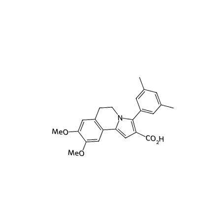 COc1cc2c(cc1OC)-c1cc(C(=O)O)c(-c3cc(C)cc(C)c3)n1CC2